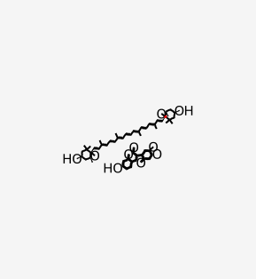 CC(/C=C/C=C(C)/C=C/[C@@]12O[C@]1(C)C[C@@H](O)CC2(C)C)=C\C=C\C=C(C)\C=C\C=C(C)\C=C\[C@@]12O[C@]1(C)C[C@@H](O)CC2(C)C.O=c1oc2cc(O)ccc2c2oc3cc4c(cc3c12)OCO4